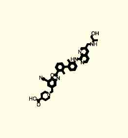 Cc1c(Nc2nccc3cc(CNC(C)CO)cnc23)cccc1-c1cccc(-c2nc3cc(CN4CCC(C(=O)O)CC4)cc(C#N)c3o2)c1C